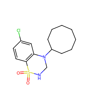 O=S1(=O)NCN(C2CCCCCCC2)c2cc(Cl)ccc21